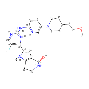 COCCC1CCN(c2ccc(Nc3ncc(F)c(-c4cc5c(n4C)CCNC5=O)n3)nc2)CC1